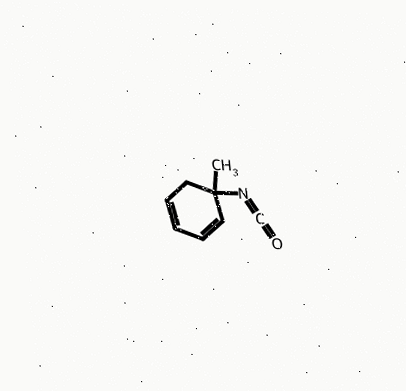 CC1(N=C=O)C=CC=CC1